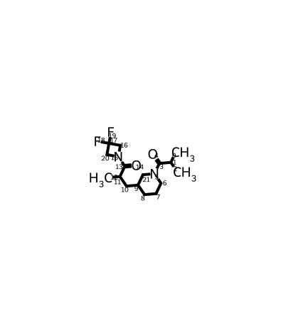 CC(C)C(=O)N1CCCC(CC(C)C(=O)N2CC(F)(F)C2)C1